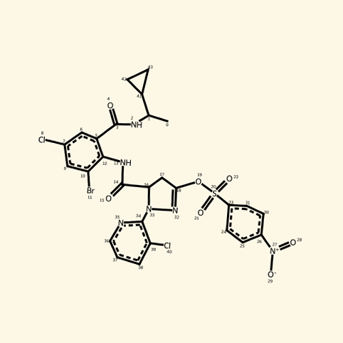 CC(NC(=O)c1cc(Cl)cc(Br)c1NC(=O)C1CC(OS(=O)(=O)c2ccc([N+](=O)[O-])cc2)=NN1c1ncccc1Cl)C1CC1